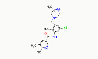 Cc1cc(C(=O)Nc2cc(Cl)cc(CN3CCN[C@@H](C)C3)c2C)cnc1C#N